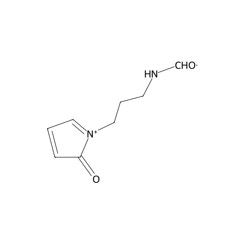 O=[C]NCCC[N+]1=CC=CC1=O